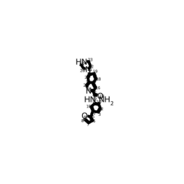 Nc1ccc(-c2ccco2)cc1NC(=O)c1cc2ccc(N3CCNCC3)cc2cn1